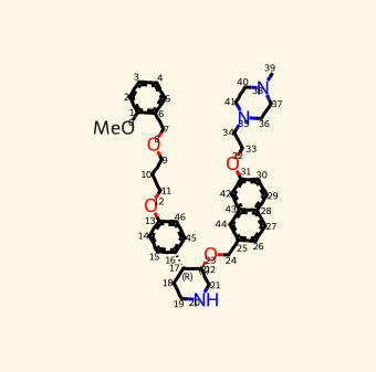 COc1ccccc1COCCCOc1ccc([C@H]2CCNC[C@@H]2OCc2ccc3ccc(OCCN4CCN(C)CC4)cc3c2)cc1